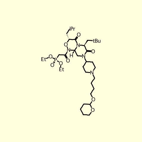 CCOP(=O)(CC(=O)N1O[C@H](CC(C)C)C(=O)N2[C@@H]1CN(C1CCN(CCCCOC3CCCCO3)CC1)C(=O)[C@@H]2CC(C)(C)C)OCC